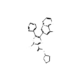 Nc1nc(-c2ccccc2)c(-c2cc(Cl)c3ncccc3c2)nc1C(=O)NC1CCCC1